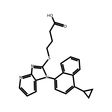 O=C(O)CCCSc1nc2ncccc2n1-c1ccc(C2CC2)c2ccccc12